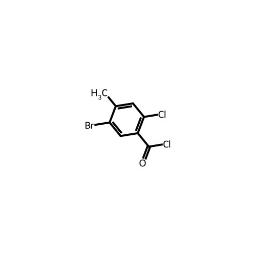 Cc1cc(Cl)c(C(=O)Cl)cc1Br